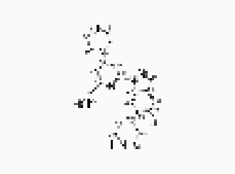 Cc1nc(N2CCOCC2)cc(-n2ncc3cc(C)c(C4CCNCC4)cc32)n1.Cl